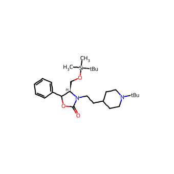 CC(C)(C)N1CCC(CCN2C(=O)OC(c3ccccc3)[C@H]2CO[Si](C)(C)C(C)(C)C)CC1